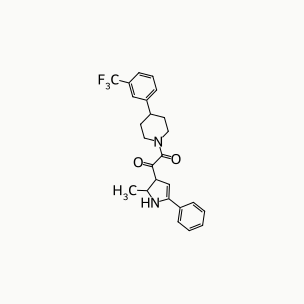 CC1NC(c2ccccc2)=CC1C(=O)C(=O)N1CCC(c2cccc(C(F)(F)F)c2)CC1